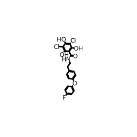 O=C(NCCc1ccc(Oc2ccc(F)cc2)cc1)c1c(O)c(Cl)c(O)c(Cl)c1O